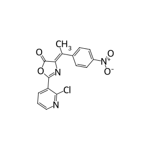 C/C(=C1/N=C(c2cccnc2Cl)OC1=O)c1ccc([N+](=O)[O-])cc1